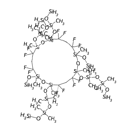 C[Si](C)(O[SiH3])O[Si](C)(C)O[Si]1(C)O[Si](C)(O[SiH3])C(F)(F)CC(F)(F)[Si](C)(O[Si](C)(C)O[SiH3])O[Si](C)(O[Si](C)(C)O[SiH3])C(F)(F)CC(F)(F)[Si](C)(O[SiH3])O[Si](C)(O[Si](C)(C)O[Si](C)(C)O[SiH3])C(F)(F)CC1(F)F